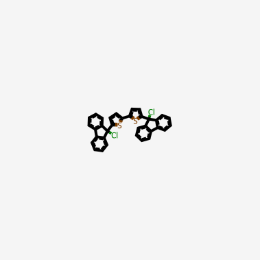 ClC1(c2ccc(-c3ccc(C4(Cl)c5ccccc5-c5ccccc54)s3)s2)c2ccccc2-c2ccccc21